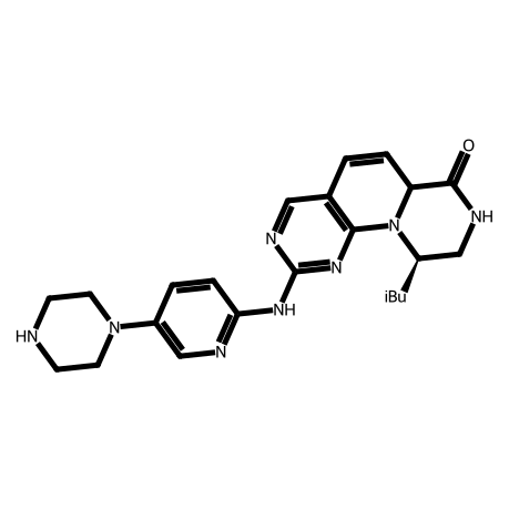 CCC(C)[C@@H]1CNC(=O)C2C=Cc3cnc(Nc4ccc(N5CCNCC5)cn4)nc3N21